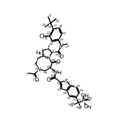 CC(=O)N1CC[C@H]2CC[C@@H](C(=O)N(C)c3ccc(C(C)(C)C)c(Cl)c3)N2C(=O)C(NC(=O)c2cc3cc(C(F)(F)P(=O)(O)O)ccc3s2)C1